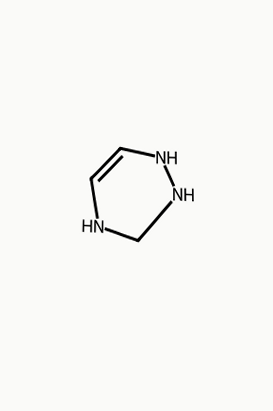 C1=CNNCN1